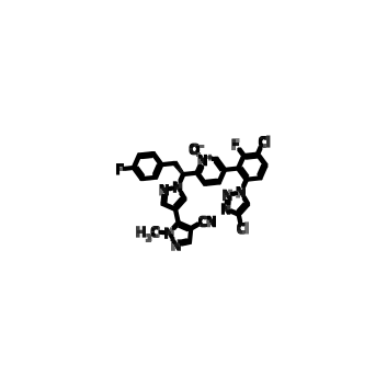 Cn1ncc(C#N)c1-c1cnn([C@@H](Cc2ccc(F)cc2)c2ccc(-c3c(-n4cc(Cl)nn4)ccc(Cl)c3F)c[n+]2[O-])c1